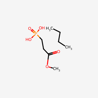 CCCC.COC(=O)CCP(=O)(O)O